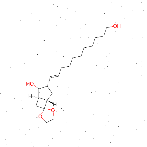 OCCCCCCCCCC=C[C@@H]1C[C@H]2[C@@H](CC23OCCO3)C1O